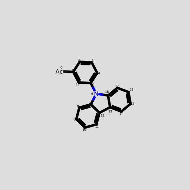 CC(=O)c1cccc(-n2c3ccccc3c3ccccc32)c1